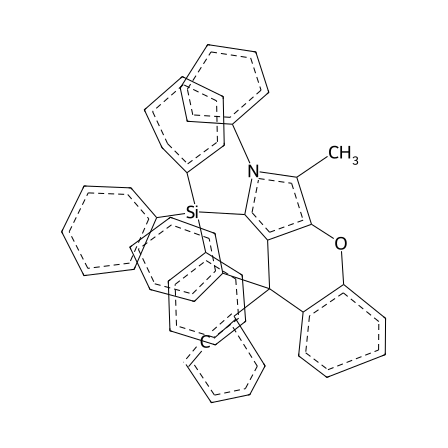 Cc1c2c(c([Si](c3ccccc3)(c3ccccc3)c3ccccc3)n1-c1ccccc1)C(c1ccccc1)(c1ccccc1)c1ccccc1O2